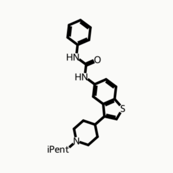 CCCC(C)N1CCC(c2csc3ccc(NC(=O)Nc4ccccc4)cc23)CC1